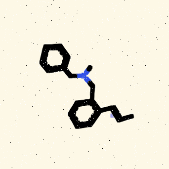 C/C=C/c1ccccc1CN(C)Cc1ccccc1